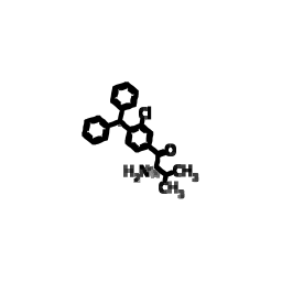 CC(C)[C@H](N)C(=O)c1ccc([C](c2ccccc2)c2ccccc2)c(Cl)c1